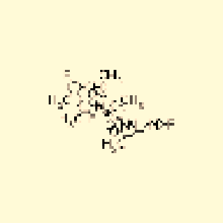 CCOC(=O)C[C@H](CCC(=O)[C@H](CC(C)C)n1nc(CCN2CC(F)C2)cc(C)c1=O)c1cc(-c2c(C)cc(F)cc2C)cc(C)c1F